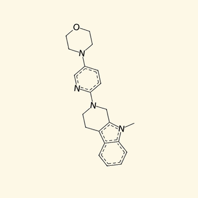 Cn1c2c(c3ccccc31)CCN(c1ccc(N3CCOCC3)cn1)C2